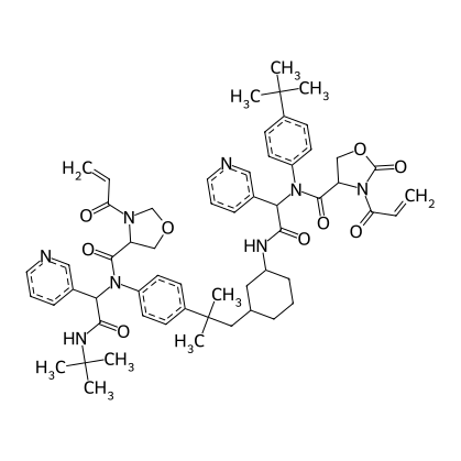 C=CC(=O)N1COCC1C(=O)N(c1ccc(C(C)(C)CC2CCCC(NC(=O)C(c3cccnc3)N(C(=O)C3COC(=O)N3C(=O)C=C)c3ccc(C(C)(C)C)cc3)C2)cc1)C(C(=O)NC(C)(C)C)c1cccnc1